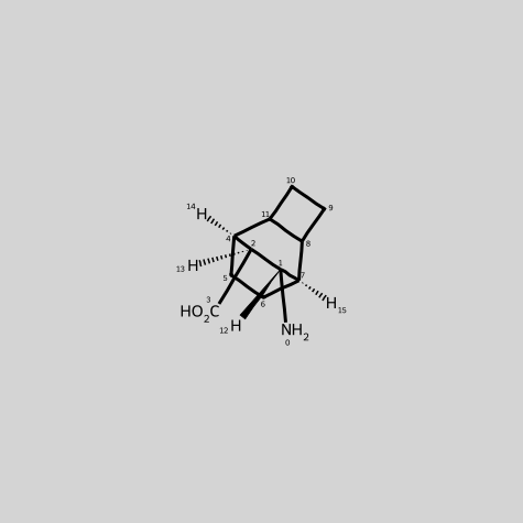 N[C@@H]1[C@@H](C(=O)O)[C@H]2CC[C@@H]1C1CCC12